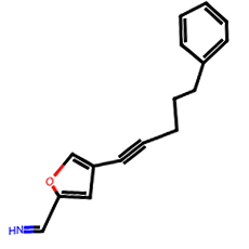 N=Cc1cc(C#CCCCc2ccccc2)co1